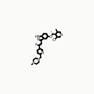 Cc1cncc(Cl)c1[C@@H](C)Oc1ccc2[nH]nc(/C=C(\F)c3ccc(CN4CCN(C)CC4)nc3)c2c1